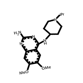 COc1cc2nc(N)nc(NC3CCN(C(C)C)CC3)c2cc1OC